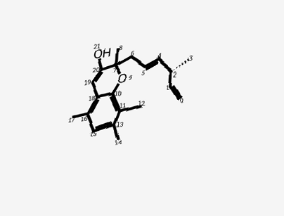 C=C[C@@H](C)/C=C/CC1(C)Oc2c(C)c(C)cc(C)c2C=C1O